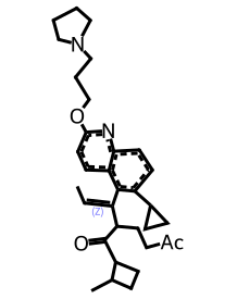 C/C=C(\c1c(C2CC2)ccc2nc(OCCCN3CCCC3)ccc12)C(CCC(C)=O)C(=O)C1CCC1C